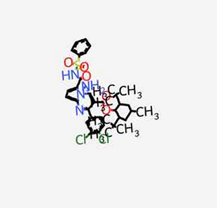 CC1CC(C(C)(C)C)C(OC(=O)C2=C[N+]3(N)C(=CC=C3C(=O)NS(=O)(=O)c3ccccc3)N=C2c2ccc(Cl)c(Cl)c2)C(C(C)(C)C)C1